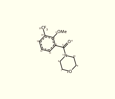 COc1c(C(=O)N2CCOCC2)cccc1C(F)(F)F